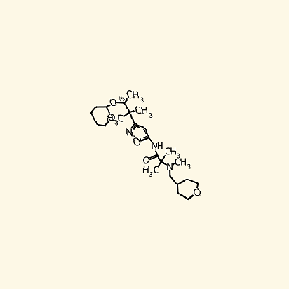 C[C@H](OC1CCCCO1)C(C)(C)c1cc(NC(=O)C(C)(C)N(C)CC2CCOCC2)on1